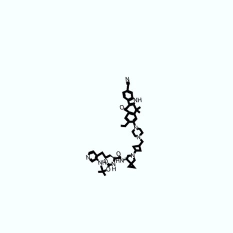 CCc1cc2c(cc1N1CCN(CC3CC(N4C[C@H](NC(=O)[C@H](CCCc5ccncc5N)NC(=O)OC(C)(C)C)C5(CC5)C4)C3)CC1)C(C)(C)c1[nH]c3cc(C#N)ccc3c1C2=O